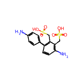 Nc1ccc(-c2ccc(N)c(CS(=O)(=O)O)c2CS(=O)(=O)O)cc1